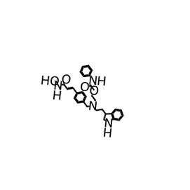 O=C(/C=C/c1ccc(CN(CCOC(=O)Nc2ccccc2)CCC2CNc3ccccc32)cc1)NO